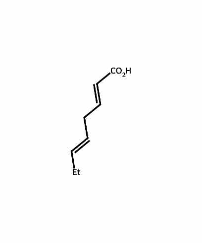 CCC=CCC=CC(=O)O